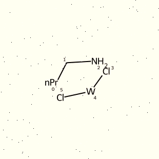 CCCCN.[Cl][W][Cl]